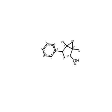 CC(c1ccccc1)C1(C)CC1(C)CO